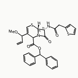 C=CC(OC)C1=CS[C@@H]2[C@H](NC(=O)Cc3cccs3)C(=O)N2C1C(=O)OC(c1ccccc1)c1ccccc1